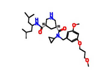 COCCCOc1cc(CN(C(=O)[C@H]2CNC[C@@H](C(=O)NC(CC(C)C)CC(C)C)C2)C2CC2)cc(OC)c1